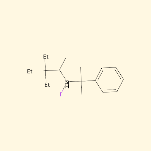 CCC(CC)(CC)C(C)[SiH](I)C(C)(C)c1ccccc1